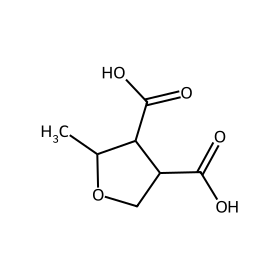 CC1OCC(C(=O)O)C1C(=O)O